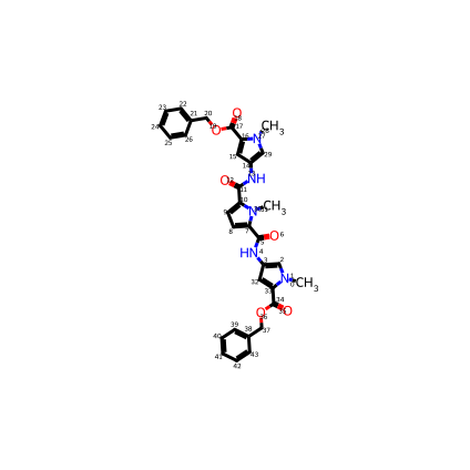 Cn1cc(NC(=O)c2ccc(C(=O)Nc3cc(C(=O)OCc4ccccc4)n(C)c3)n2C)cc1C(=O)OCc1ccccc1